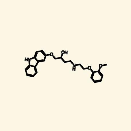 COc1ccccc1OCCNCCC(O)COc1ccc2[nH]c3ccccc3c2c1